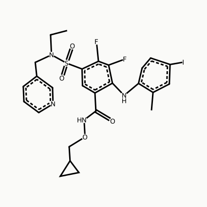 CCN(Cc1cccnc1)S(=O)(=O)c1cc(C(=O)NOCC2CC2)c(Nc2ccc(I)cc2C)c(F)c1F